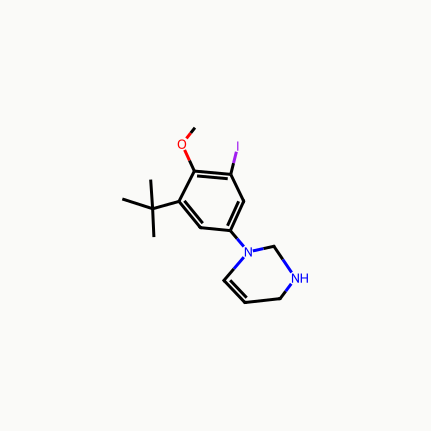 COc1c(I)cc(N2C=CCNC2)cc1C(C)(C)C